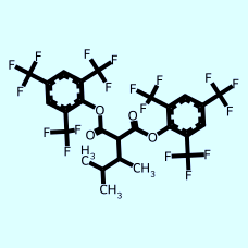 CC(C)C(C)C(C(=O)Oc1c(C(F)(F)F)cc(C(F)(F)F)cc1C(F)(F)F)C(=O)Oc1c(C(F)(F)F)cc(C(F)(F)F)cc1C(F)(F)F